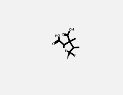 CC(C(=O)O)C(C)(C(=O)O)C(C)C(F)(F)F